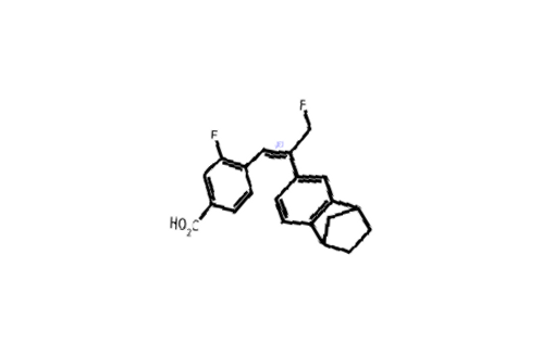 O=C(O)c1ccc(/C=C(/CF)c2ccc3c(c2)C2CCC3C2)c(F)c1